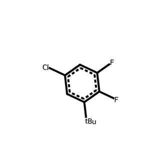 CC(C)(C)c1cc(Cl)cc(F)c1F